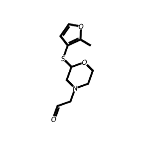 Cc1occc1SC1CN(CC=O)CCO1